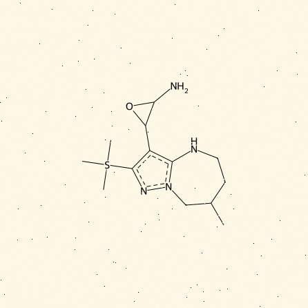 CC1CCNc2c(C3OC3N)c(S(C)(C)C)nn2C1